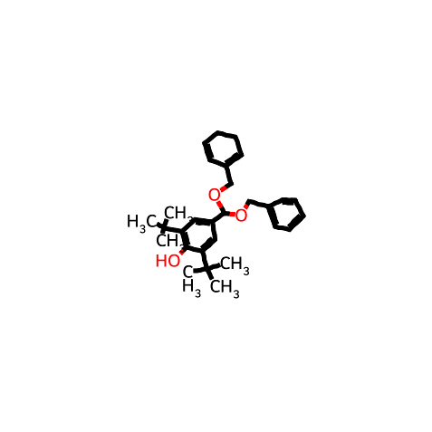 CC(C)(C)c1cc(C(OCC2=CCCC=C2)OCc2ccccc2)cc(C(C)(C)C)c1O